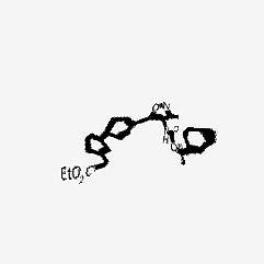 CCOC(=O)Cc1cccc(-c2ccc(-c3onc(C)c3NC(=O)O[C@H](C)c3ccccc3)cc2)c1